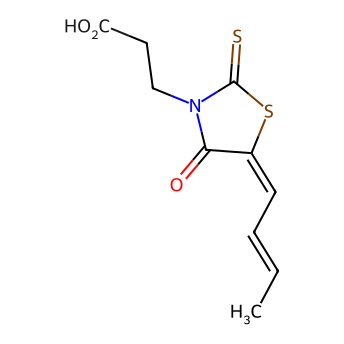 CC=C/C=C1/SC(=S)N(CCC(=O)O)C1=O